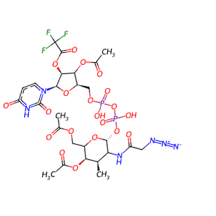 CC(=O)OCC1O[C@H](OP(=O)(O)OP(=O)(O)OC[C@H]2O[C@@H](n3ccc(=O)[nH]c3=O)[C@@H](OC(=O)C(F)(F)F)C2OC(C)=O)C(NC(=O)CN=[N+]=[N-])[C@@H](C)[C@H]1OC(C)=O